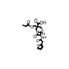 CCC(=O)OCC1(C(=O)O)CS[C@@H]2C(NC(=O)Cc3cccs3)C(=O)N2C1